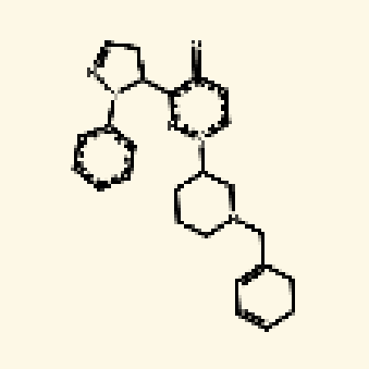 O=c1ccn(C2CCCN(CC3=CC=CCC3)C2)nc1C1CC=NN1c1ccccc1